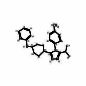 Cc1ccc(-n2c(C(F)F)nnc2C2CCC(Oc3ccccn3)CC2)cc1